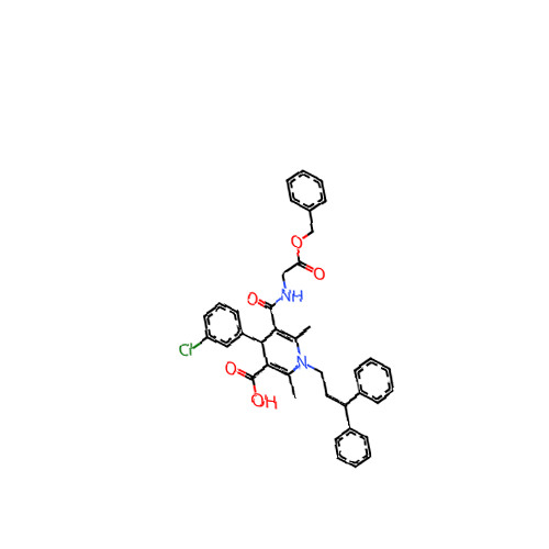 CC1=C(C(=O)O)C(c2cccc(Cl)c2)C(C(=O)NCC(=O)OCc2ccccc2)=C(C)N1CCC(c1ccccc1)c1ccccc1